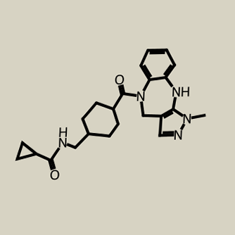 Cn1ncc2c1Nc1ccccc1N(C(=O)C1CCC(CNC(=O)C3CC3)CC1)C2